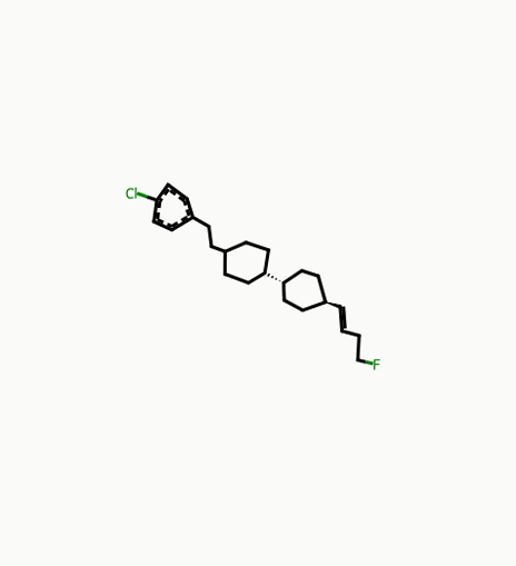 FCC/C=C/[C@H]1CC[C@H](C2CCC(CCc3ccc(Cl)cc3)CC2)CC1